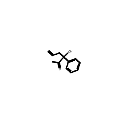 C=CCC(O)(C(C)=O)c1ccccc1